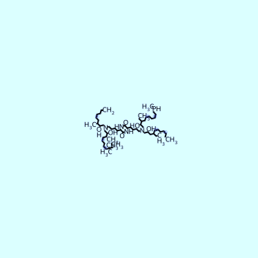 C=CC/C=C\CC(C)C(O)CN(CCCCC1NC(=O)C(CCCCN(CC(O)CC(/C=C\C/C=C\CC)CC)CC(O)C(CC)C/C=C\C/C=C\CPC)NC1=O)CC(O)C(C)/C=C\C/C=C\C(C)(C)CC